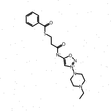 CCN1CCN([n+]2cc([N-]C(=O)CCSC(=O)c3ccccc3)on2)CC1